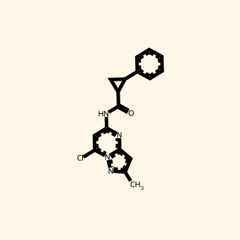 Cc1cc2nc(NC(=O)C3CC3c3ccccc3)cc(Cl)n2n1